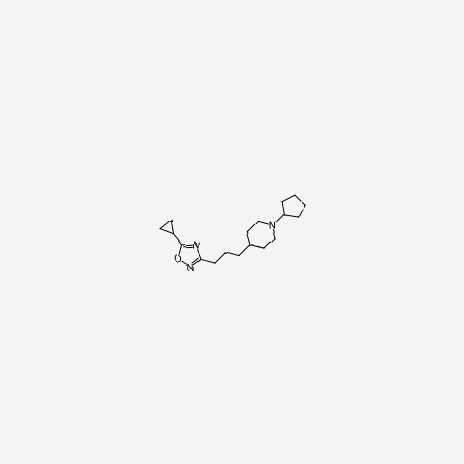 C(Cc1noc(C2CC2)n1)CC1CCN(C2CCCC2)CC1